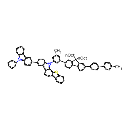 CCCCCCCCC1(CCCCCCCC)c2cc(-c3ccc(-c4ccc(C)cc4)cc3)ccc2-c2ccc(-c3cc(C)cc(-n4c5ccc(-c6ccc7c(c6)c6ccccc6n7-c6ccccc6)cc5c5ccc6c7ccccc7sc6c54)c3)cc21